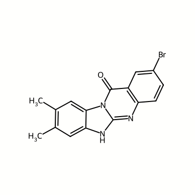 Cc1cc2[nH]c3nc4ccc(Br)cc4c(=O)n3c2cc1C